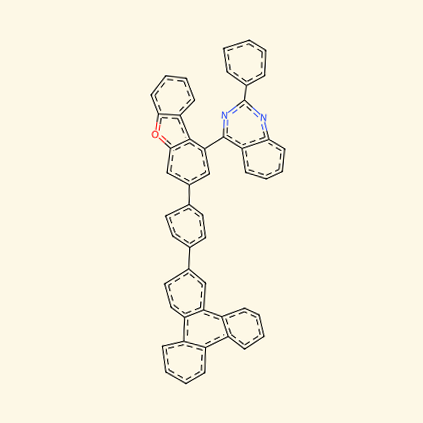 c1ccc(-c2nc(-c3cc(-c4ccc(-c5ccc6c7ccccc7c7ccccc7c6c5)cc4)cc4oc5ccccc5c34)c3ccccc3n2)cc1